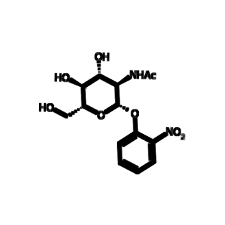 CC(=O)N[C@H]1[C@H](Oc2ccccc2[N+](=O)[O-])O[C@H](CO)[C@@H](O)[C@@H]1O